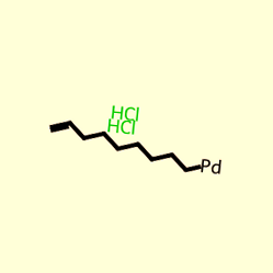 C=CCCCCCC[CH2][Pd].Cl.Cl